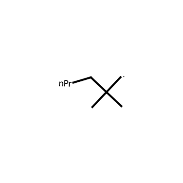 [CH2]C(C)(C)CC[CH]C